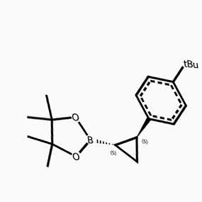 CC(C)(C)c1ccc([C@H]2C[C@@H]2B2OC(C)(C)C(C)(C)O2)cc1